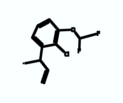 [CH2]C(C=C)c1cccc(OC(F)F)c1Cl